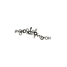 C#Cc1c(Oc2cc(F)c(CCN3CCC[C@H](CO)C3)cc2F)ncnc1OC1CCN(C(=O)OC(C)C)CC1